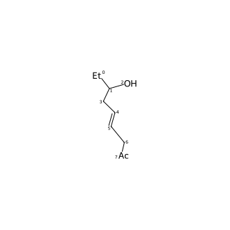 CCC(O)CC=CCC(C)=O